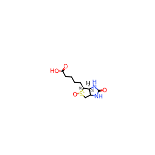 O=C(O)CCCC[C@H]1[C@H]2NC(=O)NC2C[S+]1[O-]